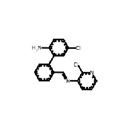 Nc1ccc(Cl)cc1-c1ccccc1C=Nc1cccnc1Cl